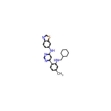 Cc1ccc(-c2cc(Nc3ccc4ncsc4c3)ncn2)c(NCC2CCCCC2)c1